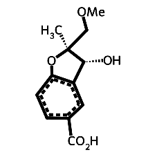 COC[C@]1(C)Oc2ccc(C(=O)O)cc2[C@H]1O